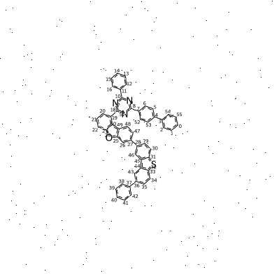 c1ccc(-c2ccc(-c3nc(-c4ccccc4)nc(-c4cccc5oc6cc(-c7ccc8sc9ccc(-c%10ccccc%10)cc9c8c7)ccc6c45)n3)cc2)cc1